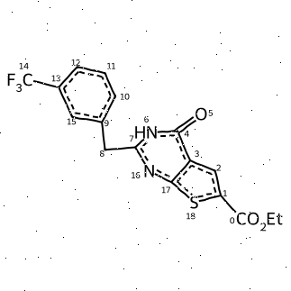 CCOC(=O)c1cc2c(=O)[nH]c(Cc3cccc(C(F)(F)F)c3)nc2s1